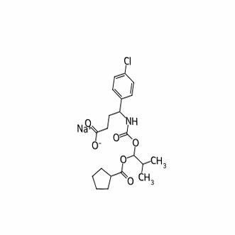 CC(C)C(OC(=O)NC(CCC(=O)[O-])c1ccc(Cl)cc1)OC(=O)C1CCCC1.[Na+]